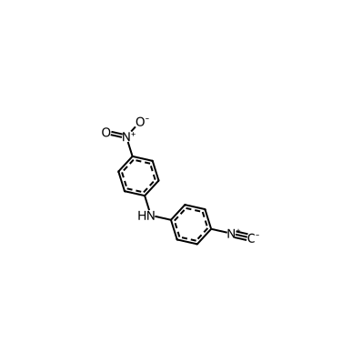 [C-]#[N+]c1ccc(Nc2ccc([N+](=O)[O-])cc2)cc1